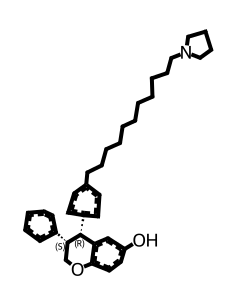 Oc1ccc2c(c1)[C@@H](c1ccc(CCCCCCCCCCCN3CCCC3)cc1)[C@@H](c1ccccc1)CO2